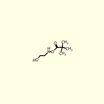 CC(C)(C)C(=O)ONCCO